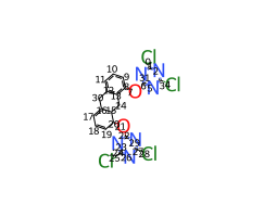 Clc1nc(Cl)nc(Oc2cccc3c2CC2C(=CC=CC2Oc2nc(Cl)nc(Cl)n2)C3)n1